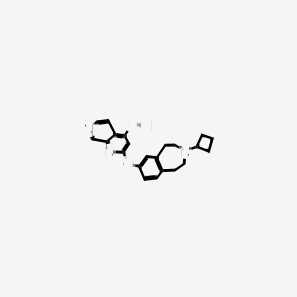 COc1cc(Oc2ccc3c(c2)CCN(C2CCC2)CC3)nc2cnccc12